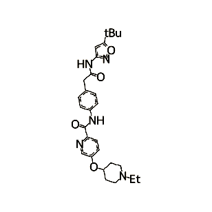 CCN1CCC(Oc2ccc(C(=O)Nc3ccc(CC(=O)Nc4cc(C(C)(C)C)on4)cc3)nc2)CC1